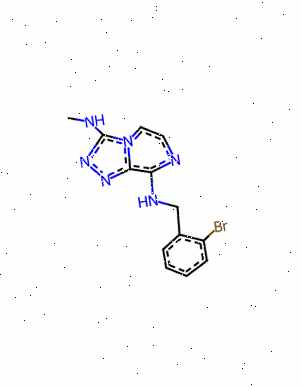 CNc1nnc2c(NCc3ccccc3Br)nccn12